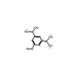 CNc1cc(B(O)O)cc(B(O)O)c1